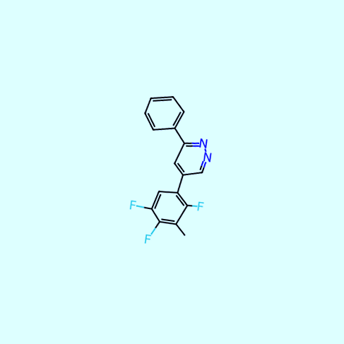 Cc1c(F)c(F)cc(-c2cnnc(-c3ccccc3)c2)c1F